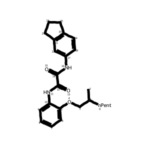 CCCCCC(C)COc1ccccc1NC(=O)C(=O)Nc1ccc2c(c1)CCC2